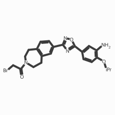 CC(C)Oc1ccc(-c2nc(-c3ccc4c(c3)CCN(C(=O)CBr)CC4)no2)cc1N